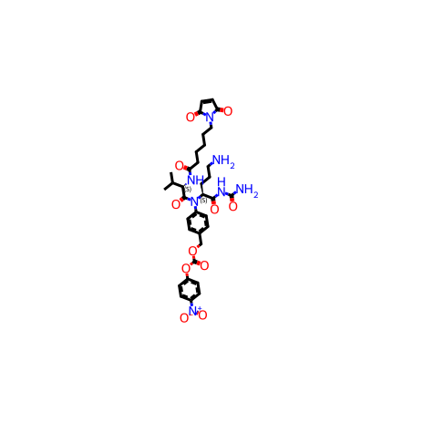 CC(C)[C@H](NC(=O)CCCCCN1C(=O)C=CC1=O)C(=O)N(c1ccc(COC(=O)Oc2ccc([N+](=O)[O-])cc2)cc1)[C@@H](CCCN)C(=O)NC(N)=O